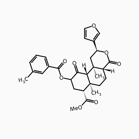 COC(=O)[C@@H]1CC(OC(=O)c2cccc(C)c2)C(=O)[C@H]2[C@@]1(C)CC[C@H]1C(=O)O[C@H](c3ccoc3)C[C@]21C